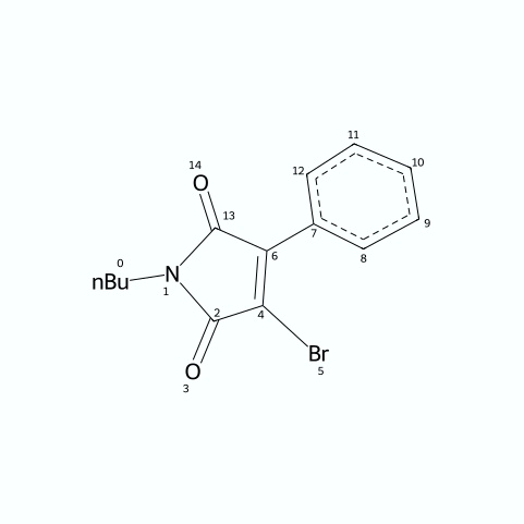 CCCCN1C(=O)C(Br)=C(c2ccccc2)C1=O